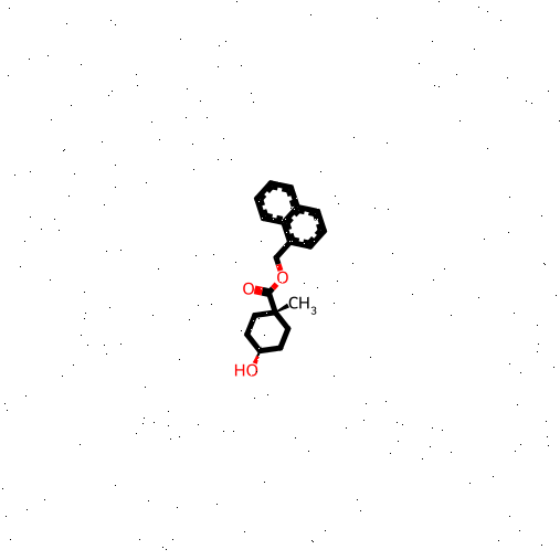 C[C@]1(C(=O)OCc2cccc3ccccc23)CC[C@H](O)CC1